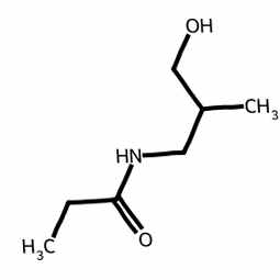 CCC(=O)NCC(C)CO